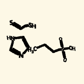 CCCS(=O)(=O)O.S=CS.c1c[nH]cn1